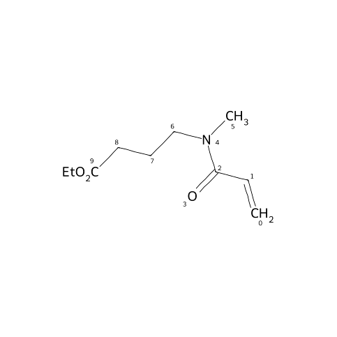 C=CC(=O)N(C)CCCC(=O)OCC